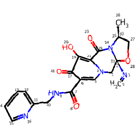 C=N[C@@]12Cn3cc(C(=O)NCc4ccccn4)c(=O)c(O)c3C(=O)N1[C@@H](C)CO2